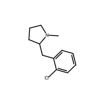 CN1CCCC1Cc1ccccc1Cl